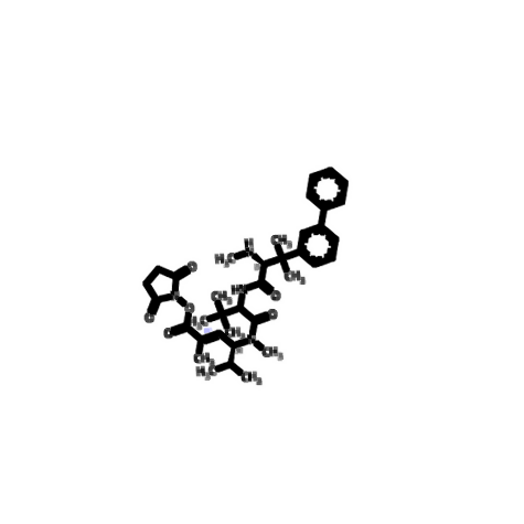 CN[C@H](C(=O)NC(C(=O)N(C)[C@H](/C=C(\C)C(=O)ON1C(=O)CCC1=O)C(C)C)C(C)(C)C)C(C)(C)c1cccc(-c2ccccc2)c1